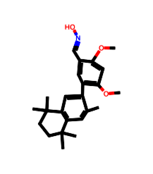 COc1cc(OC)c(-c2cc3c(cc2C)C(C)(C)CCC3(C)C)cc1/C=N/O